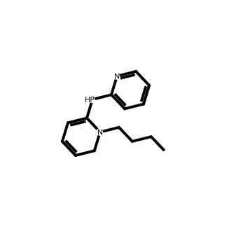 CCCCN1CC=CC=C1Pc1ccccn1